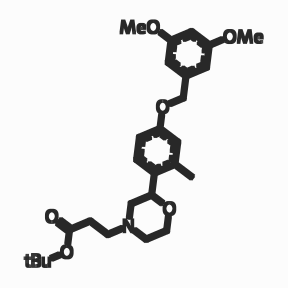 COc1cc(COc2ccc(C3CN(CCC(=O)OC(C)(C)C)CCO3)c(C)c2)cc(OC)c1